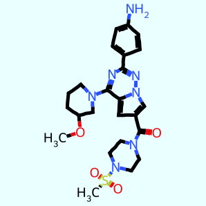 COC1CCCN(c2nc(-c3ccc(N)cc3)nn3cc(C(=O)N4CCN(S(C)(=O)=O)CC4)cc23)C1